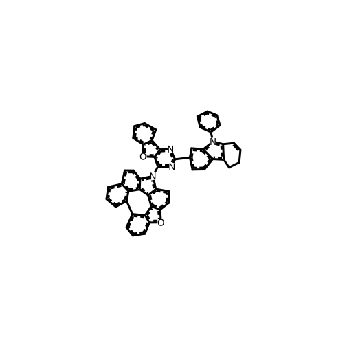 C1=Cc2c(c3ccc(-c4nc(-n5c6ccc7cccc8c7c6c6c7c(ccc65)oc5cccc-8c57)c5oc6ccccc6c5n4)cc3n2-c2ccccc2)CC1